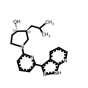 CC(C)C[C@H]1CN(c2cccc(-c3n[nH]c4ncccc34)n2)CC[C@@H]1O